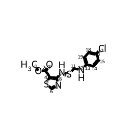 COC(=O)c1scnc1NSCNc1ccc(Cl)cc1